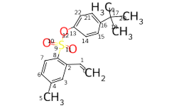 C=Cc1cc(C)ccc1S(=O)(=O)Oc1ccc(C(C)(C)C)cc1